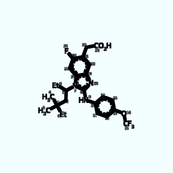 CCC(CC(C)(C)CC)n1c(Nc2ccc(OC(F)(F)F)cc2)nc2cc(CC(=O)O)c(F)cc21